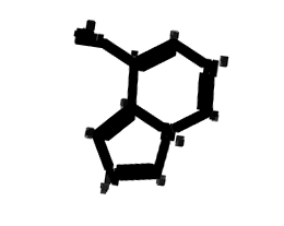 CC(C)(C)c1cncn2cncc12